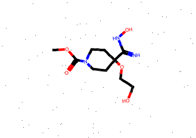 COC(=O)N1CCC(OCCO)(C(=N)NO)CC1